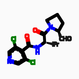 CC(C)[C@H](NC(=O)c1c(Cl)cncc1Cl)C(=O)N1CCC[C@H]1C=O